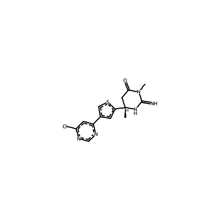 CN1C(=N)N[C@](C)(c2cc(-c3cc(Cl)ncn3)cs2)CC1=O